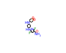 NC(=O)c1cc(F)c(N[C@H]2CC[C@H](NC3CCS(=O)(=O)CC3)CC2)nc1F